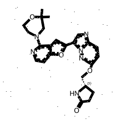 CC1(C)CN(c2nccc3oc(-c4cnc5ccc(OC[C@@H]6CCC(=O)N6)nn45)cc23)CCO1